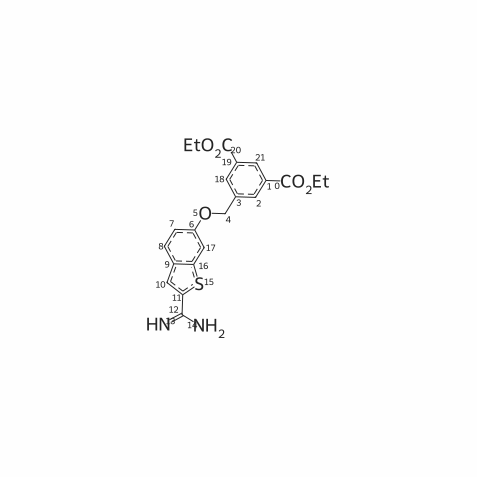 CCOC(=O)c1cc(COc2ccc3cc(C(=N)N)sc3c2)cc(C(=O)OCC)c1